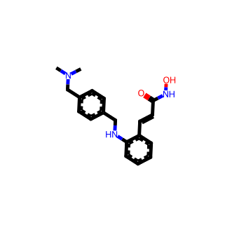 CN(C)Cc1ccc(CNc2ccccc2/C=C/C(=O)NO)cc1